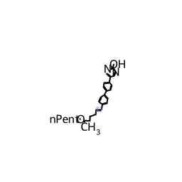 CCCCCOC(C)CCC/C=C/c1ccc(-c2ccc(-c3cnc(O)nc3)cc2)cc1